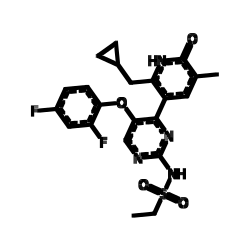 CCS(=O)(=O)Nc1ncc(Oc2ccc(F)cc2F)c(-c2cc(C)c(=O)[nH]c2CC2CC2)n1